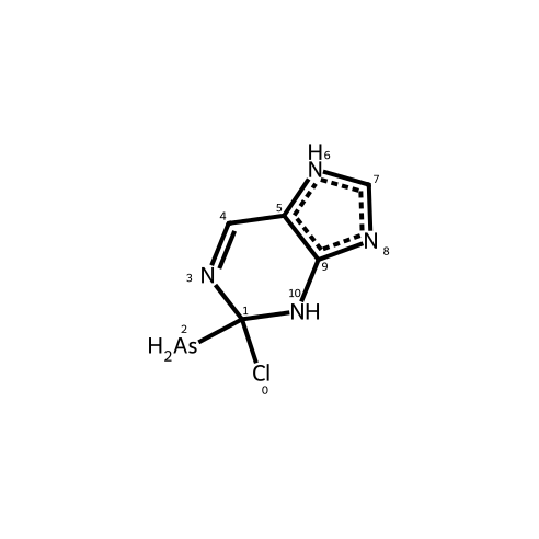 ClC1([AsH2])N=Cc2[nH]cnc2N1